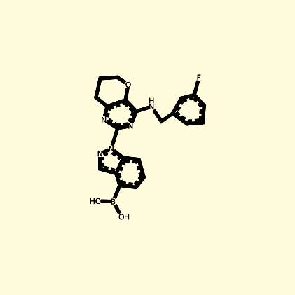 OB(O)c1cccc2c1cnn2-c1nc2c(c(NCc3cccc(F)c3)n1)OCCC2